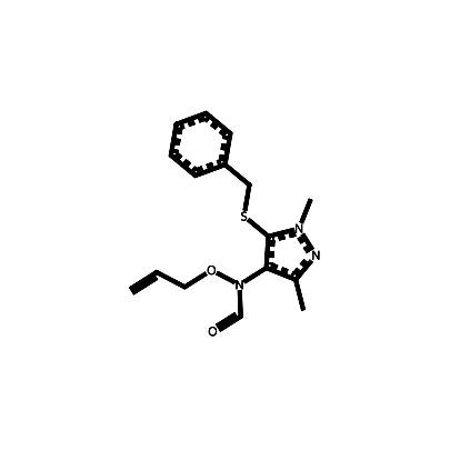 C=CCON(C=O)c1c(C)nn(C)c1SCc1ccccc1